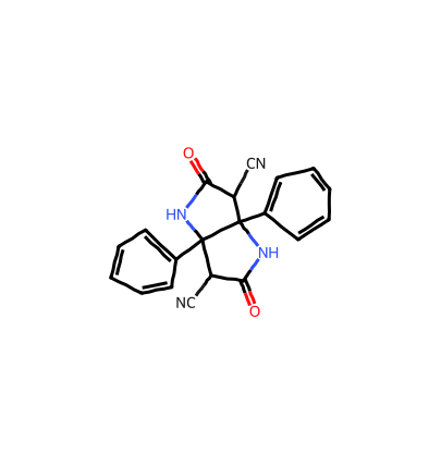 N#CC1C(=O)NC2(c3ccccc3)C(C#N)C(=O)NC12c1ccccc1